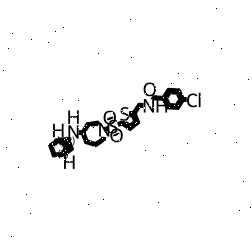 O=C(NCc1ccc(S(=O)(=O)N2CCCC(N[C@@H]3C[C@@H]4CC[C@@H]3C4)CC2)s1)c1ccc(Cl)cc1